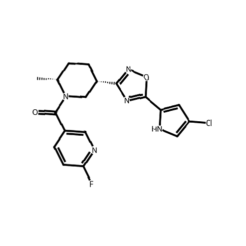 C[C@@H]1CC[C@H](c2noc(-c3cc(Cl)c[nH]3)n2)CN1C(=O)c1ccc(F)nc1